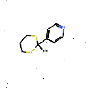 CC(C)(C)C1(c2ccncc2)SCCCS1